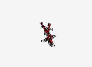 COCCCCN1CCN(C(=O)CCCN2C(=O)CC(SC(CCCCNC(=O)CCCc3ccc(C)cc3)CNC(=O)CN3CCN(CC(=O)O)CCN(CC(=O)O)CCN(CC(=O)O)CC3)C2=O)CC1